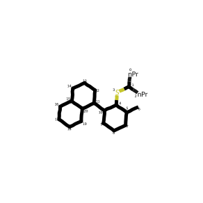 CCCC(CCC)SC1C(C)CCCC1C1CCCC2CCCCC21